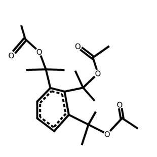 CC(=O)OC(C)(C)c1cccc(C(C)(C)OC(C)=O)c1C(C)(C)OC(C)=O